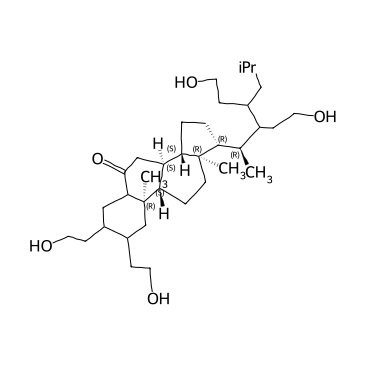 CC(C)CC(CCO)C(CCO)[C@@H](C)[C@H]1CC[C@H]2[C@@H]3CC(=O)C4CC(CCO)C(CCO)C[C@]4(C)[C@H]3CC[C@]12C